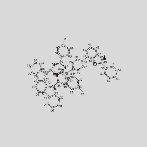 Cc1ccc(-c2nc(-c3ccc(C)cc3)nc(-n3c4ccccc4c4ccc5c6ccccc6n(-c6ccc(-c7ccc(-c8cccc9nc(-c%10ccccc%10)oc89)cc7)cc6)c5c43)n2)cc1